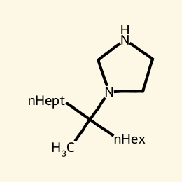 CCCCCCCC(C)(CCCCCC)N1CCNC1